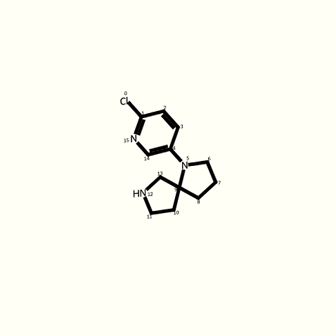 Clc1ccc(N2CCCC23CCNC3)cn1